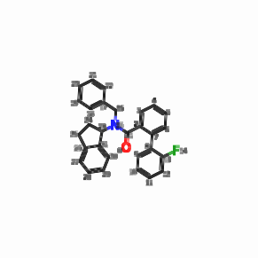 O=C(c1ccccc1-c1ccccc1F)N(Cc1ccccc1)C1CCc2ccccc21